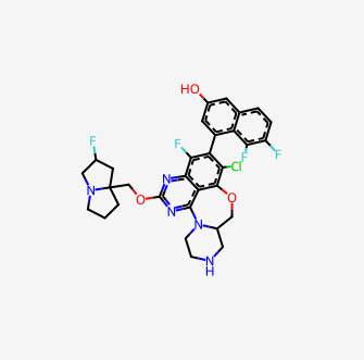 Oc1cc(-c2c(Cl)c3c4c(nc(OCC56CCCN5CC(F)C6)nc4c2F)N2CCNCC2CO3)c2c(F)c(F)ccc2c1